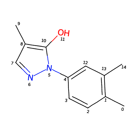 Cc1ccc(-n2ncc(C)c2O)cc1C